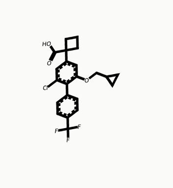 O=C(O)C1(c2cc(Cl)c(-c3ccc(C(F)(F)F)cc3)c(OCC3CC3)c2)CCC1